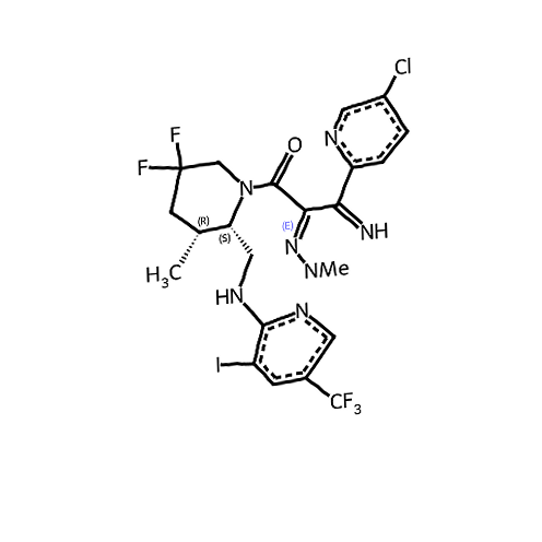 CN/N=C(\C(=N)c1ccc(Cl)cn1)C(=O)N1CC(F)(F)C[C@@H](C)[C@H]1CNc1ncc(C(F)(F)F)cc1I